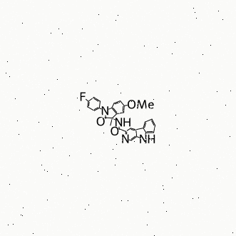 COc1ccc2c(c1)C(C)(NC(=O)c1cc3c(cn1)[nH]c1ccccc13)C(=O)N2c1ccc(F)cc1